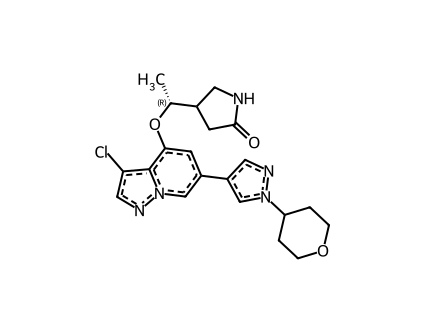 C[C@@H](Oc1cc(-c2cnn(C3CCOCC3)c2)cn2ncc(Cl)c12)C1CNC(=O)C1